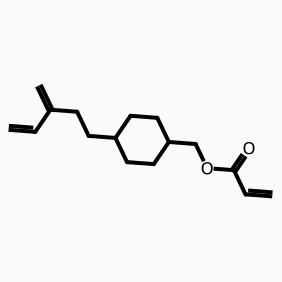 C=CC(=C)CCC1CCC(COC(=O)C=C)CC1